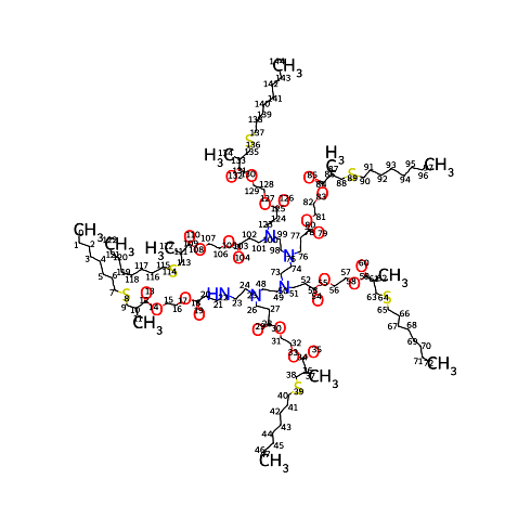 CCCCCCCCSCC(C)C(=O)OCCOC(=O)CCNCCN(CCC(=O)OCCOC(=O)C(C)CSCCCCCCCC)CCN(CCC(=O)OCCOC(=O)C(C)CSCCCCCCCC)CCN(CCC(=O)OCCOC(=O)C(C)CSCCCCCCCC)CCN(CCC(=O)OCCOC(=O)C(C)CSCCCCCCCC)CCC(=O)OCCOC(=O)C(C)CSCCCCCCCC